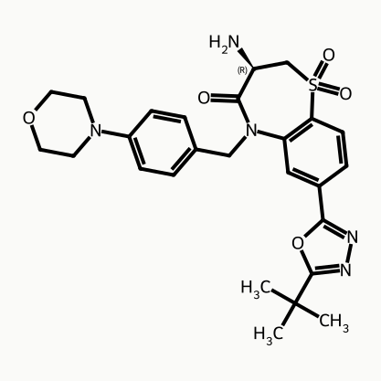 CC(C)(C)c1nnc(-c2ccc3c(c2)N(Cc2ccc(N4CCOCC4)cc2)C(=O)[C@@H](N)CS3(=O)=O)o1